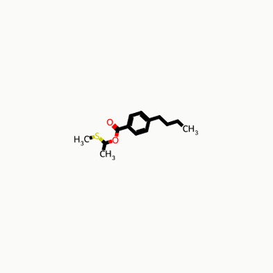 CCCCc1ccc(C(=O)OC(C)SC)cc1